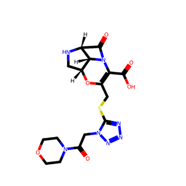 O=C(O)C1=C(CSc2nnnn2CC(=O)N2CCOCC2)O[C@@H]2CN[C@@H]3C(=O)N1[C@@H]32